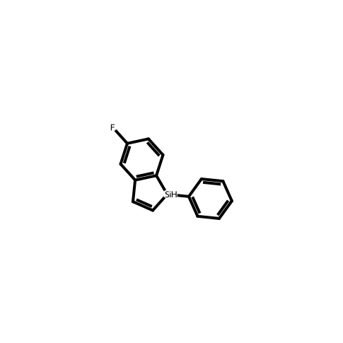 Fc1ccc2c(c1)C=C[SiH]2c1ccccc1